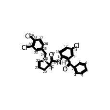 O=C(c1ccccc1)c1cc(Cl)ccc1NC(=O)[C@@]1(F)CC=CN1Cc1ccc(Cl)c(Cl)c1